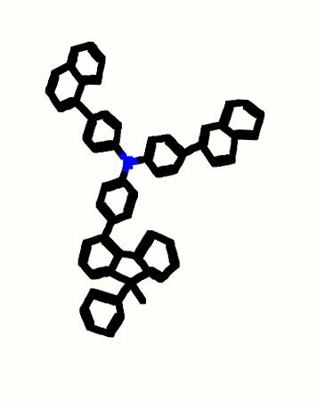 CC1(c2ccccc2)c2ccccc2-c2c(-c3ccc(N(c4ccc(-c5ccc6ccccc6c5)cc4)c4ccc(-c5cccc6ccccc56)cc4)cc3)cccc21